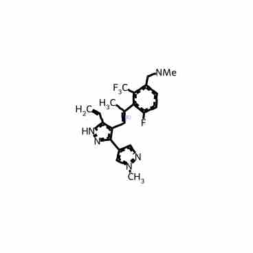 C=Cc1[nH]nc(-c2cnn(C)c2)c1/C=C(\C)c1c(F)ccc(CNC)c1C(F)(F)F